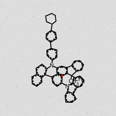 CC1(C)c2ccccc2-c2cc(N(c3ccc(-c4ccc(C5CCCCC5)cc4)cc3)c3ccc4ccccc4c3-c3ccc(-n4c5ccccc5c5ccccc54)cc3)ccc21